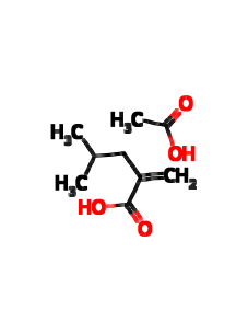 C=C(CC(C)C)C(=O)O.CC(=O)O